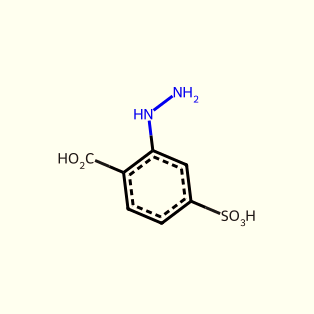 NNc1cc(S(=O)(=O)O)ccc1C(=O)O